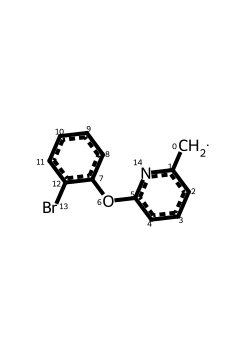 [CH2]c1cccc(Oc2ccccc2Br)n1